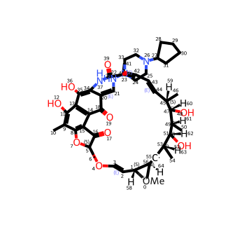 CO[C@@H]1/C=C/O[C@@]2(C)Oc3c(C)c(O)c4c(c3C2=O)C(=O)/C(=C/NN2CCN(C3CCCC3)CC2)C(=C4O)NC(=O)/C(C)=C\C=C\[C@H](C)[C@H](O)[C@H](C)[C@H](O)[C@H](C)[CH][C@H]1C